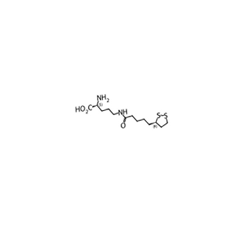 N[C@@H](CCCNC(=O)CCCC[C@@H]1CCSS1)C(=O)O